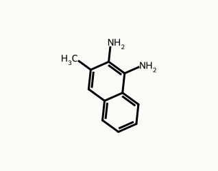 Cc1cc2ccccc2c(N)c1N